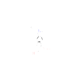 CN(Cc1ccc2c(c1)C[C@H](CO)[C@@H]2O)C(=O)O